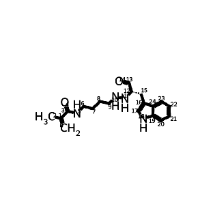 C=C(C)C(=O)NCCCCNN[C@H](C=O)Cc1c[nH]c2ccccc12